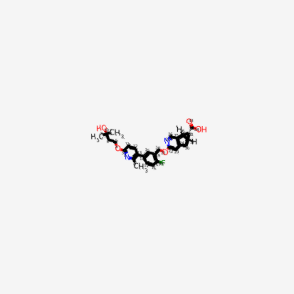 Cc1nc(OCCC(C)(C)O)ccc1-c1ccc(F)c(COc2cc3c(cn2)[C@H]2[C@H]4C3[C@]42C(=O)O)c1